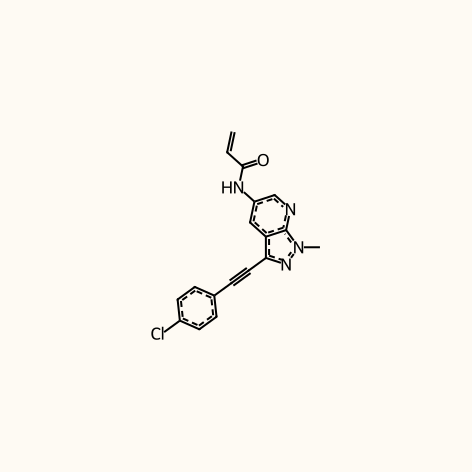 C=CC(=O)Nc1cnc2c(c1)c(C#Cc1ccc(Cl)cc1)nn2C